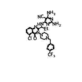 CCC(Nc1nc(N)nc(N)c1C#N)c1nc2cccc(Cl)c2c(=O)n1N1CCN(Cc2ccc(C(F)(F)F)cc2)CC1